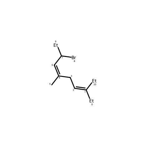 CCC(=CC/C(C)=C\C(Br)CC)CC